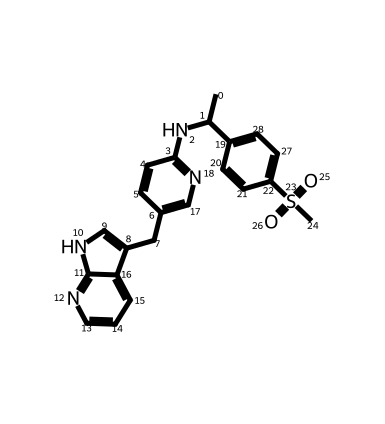 CC(Nc1ccc(Cc2c[nH]c3ncccc23)cn1)c1ccc(S(C)(=O)=O)cc1